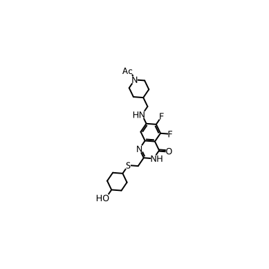 CC(=O)N1CCC(CNc2cc3nc(CSC4CCC(O)CC4)[nH]c(=O)c3c(F)c2F)CC1